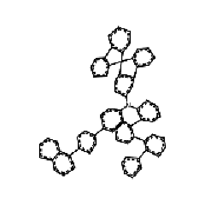 c1ccc(-c2ccccc2-c2ccccc2-c2ccccc2N(c2ccc(-c3ccc(-c4cccc5ccccc45)cc3)cc2)c2ccc3c(c2)-c2ccccc2C32c3ccccc3-c3ccccc32)cc1